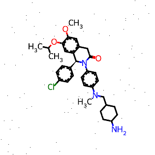 COc1cc2c(cc1OC(C)C)[C@H](c1ccc(Cl)cc1)N(c1ccc(N(C)CC3CCC(N)CC3)cc1)C(=O)C2